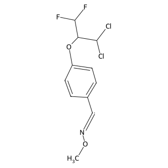 CON=[C]c1ccc(OC(C(F)F)C(Cl)Cl)cc1